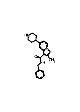 Cc1nn2ccc(C3CCNCC3)cc2c1C(=O)NCc1ccccc1